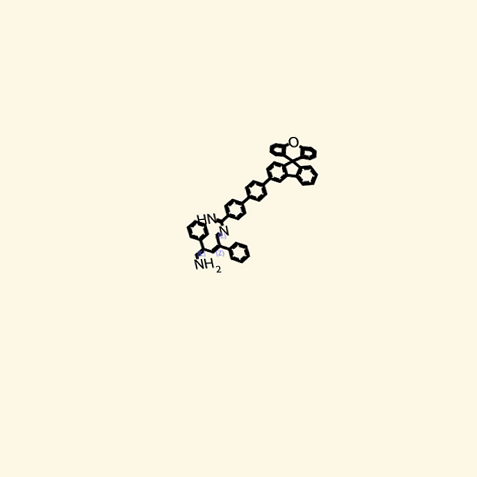 N=C(/N=C/C(=C\C(=C/N)c1ccccc1)c1ccccc1)c1ccc(-c2ccc(-c3ccc4c(c3)-c3ccccc3C43c4ccccc4Oc4ccccc43)cc2)cc1